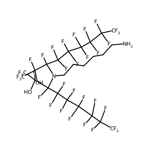 NCCCCCCN(C(F)(C(O)(F)C(F)(F)F)C(F)(F)C(F)(F)C(F)(F)C(F)(F)C(F)(F)C(F)(F)F)C(F)(C(O)(F)C(F)(F)F)C(F)(F)C(F)(F)C(F)(F)C(F)(F)C(F)(F)C(F)(F)F